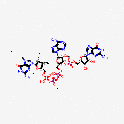 CC[C@H]1[C@@H](C)[C@H](n2c[n+](C)c3c(=O)[nH]c(N)nc32)O[C@@H]1COP(=O)(O)OP(=O)(O)OP(=O)(O)OC[C@H]1O[C@@H](n2cnc3c(N)ncnc32)[C@H](OC)[C@@H]1OP(=O)([O-])OC[C@H]1O[C@@H](n2cnc3c(=O)[nH]c(N)nc32)[C@H](O)[C@@H]1O